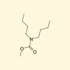 [CH2]OC(=O)N(CCCC)CCCC